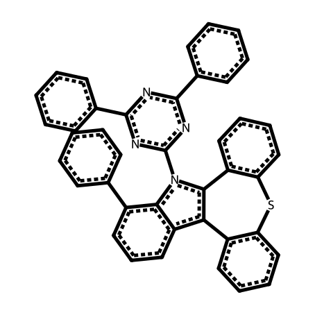 c1ccc(-c2nc(-c3ccccc3)nc(-n3c4c(c5cccc(-c6ccccc6)c53)-c3ccccc3Sc3ccccc3-4)n2)cc1